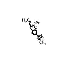 C=CCN(Cc1ccc(-c2noc(C(F)(F)F)n2)cc1)C(=O)CCC